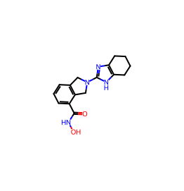 O=C(NO)c1cccc2c1CN(c1nc3c([nH]1)CCCC3)C2